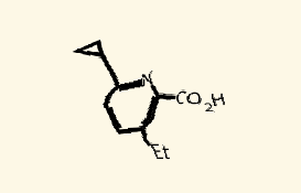 CCc1ccc(C2CC2)nc1C(=O)O